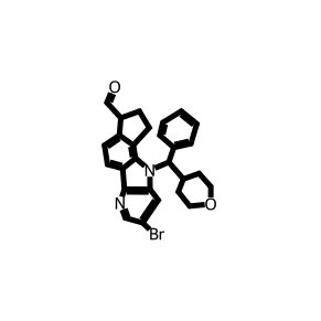 O=CC1CCc2c1ccc1c3ncc(Br)cc3n(C(c3ccccc3)C3CCOCC3)c21